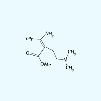 CCCC(N)=C(CCN(C)C)C(=O)OC